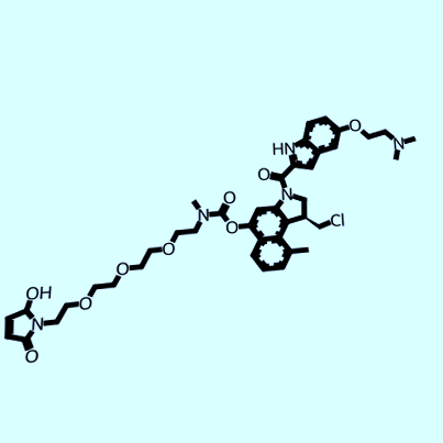 Cc1cccc2c(OC(=O)N(C)CCOCCOCCOCCN3C(=O)C=CC3O)cc3c(c12)[C@H](CCl)CN3C(=O)c1cc2cc(OCCN(C)C)ccc2[nH]1